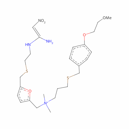 COCCOc1ccc(CSCCC[N+](C)(C)Cc2ccc(CSCCNC(N)=C[N+](=O)[O-])o2)cc1